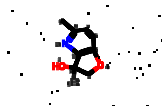 CCC1(O)COc2ccc(C)nc21